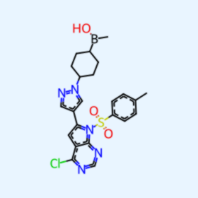 CB(O)C1CCC(n2cc(-c3cc4c(Cl)ncnc4n3S(=O)(=O)c3ccc(C)cc3)cn2)CC1